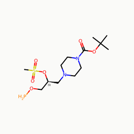 CC(C)(C)OC(=O)N1CCN(C[C@@H](COP)OS(C)(=O)=O)CC1